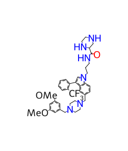 COc1cc(CN2CCN(Cc3ccc4c(c3)c(-c3ccccc3C(F)(F)F)cn4CCCNC(=O)C3CNCCN3)CC2)cc(OC)c1